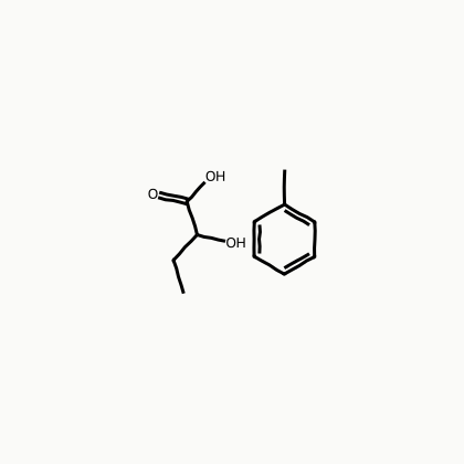 CCC(O)C(=O)O.Cc1ccccc1